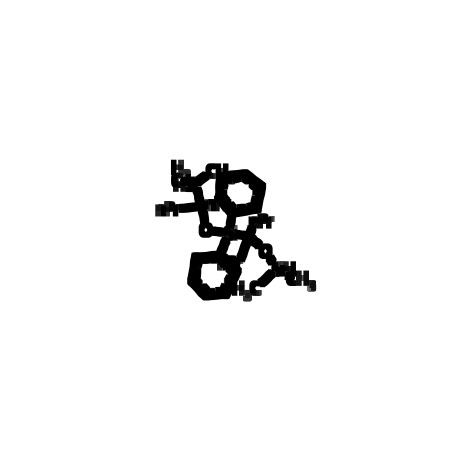 CCCC(CCC)(O[Si](c1ccccc1)(c1ccccc1)C(CCC)(CCC)O[SiH](C)C)[SiH](C)C